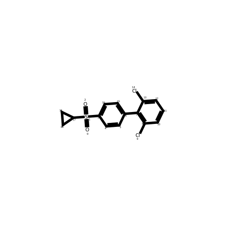 O=S(=O)(c1ccc(-c2c(Cl)cccc2Cl)cc1)C1CC1